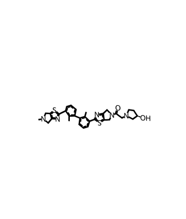 Cc1c(-c2nc3c(s2)CN(C)C3)cccc1-c1cccc(-c2nc3c(s2)CN(C(=O)CN2CC[C@@H](O)C2)C3)c1C